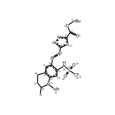 CCCCOC(=O)c1nnc(N=Nc2cc3c(cc2NS(=O)(=O)C(F)(F)F)N(CCC)C(C)CC3)s1